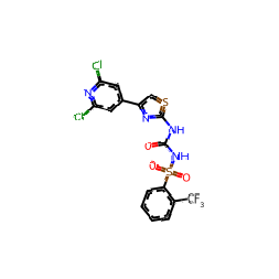 O=C(Nc1nc(-c2cc(Cl)nc(Cl)c2)cs1)NS(=O)(=O)c1ccccc1C(F)(F)F